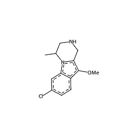 COc1c2n(c3cc(Cl)ccc13)C(C)CNC2